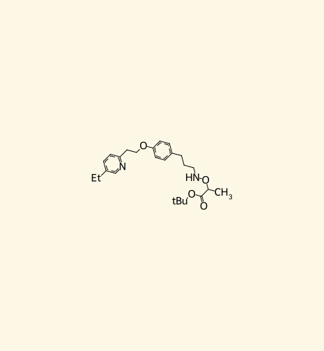 CCc1ccc(CCOc2ccc(CCCNOC(C)C(=O)OC(C)(C)C)cc2)nc1